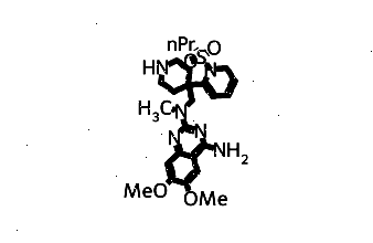 CCCS(=O)(=O)N1CC=CC=C1C1(CN(C)c2nc(N)c3cc(OC)c(OC)cc3n2)CCNCC1